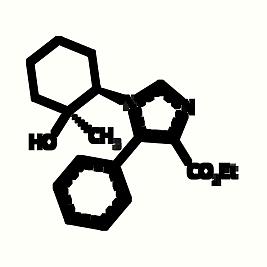 CCOC(=O)c1ncn([C@@H]2CCCC[C@]2(C)O)c1-c1ccccc1